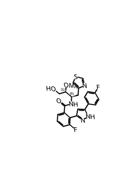 CO[C@H](CO)[C@@H](Cc1cscn1)NC(=O)c1cccc(F)c1-c1cc(-c2ccc(F)cc2)[nH]n1